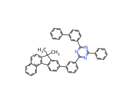 CC1(C)c2cc(-c3cccc(-c4nc(-c5ccccc5)nc(-c5cccc(-c6ccccc6)c5)n4)c3)ccc2-c2c1ccc1ccccc21